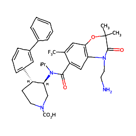 CC(C)N(C(=O)c1cc2c(cc1C(F)(F)F)OC(C)(C)C(=O)N2CCN)[C@H]1CN(C(=O)O)CC[C@@H]1c1cccc(-c2ccccc2)c1